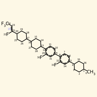 CC1CCC(c2ccc(-c3ccc(C4CCC(C5CCC(/C(F)=C/C(F)(F)F)CC5)CC4)c(F)c3)c(F)c2)CC1